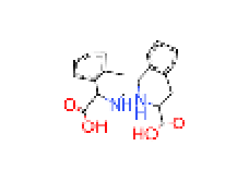 O=C(O)C1Cc2ccccc2CN1.O=C(O)C1NCCc2ccccc21